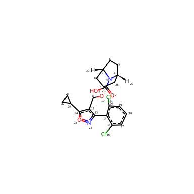 O=C(O)N1[C@@H]2CC[C@H]1C[C@@H](OCc1c(-c3c(Cl)cccc3Cl)noc1C1CC1)C2